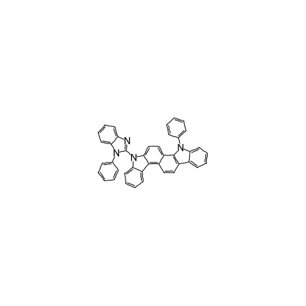 c1ccc(-n2c(-n3c4ccccc4c4c5ccc6c7ccccc7n(-c7ccccc7)c6c5ccc43)nc3ccccc32)cc1